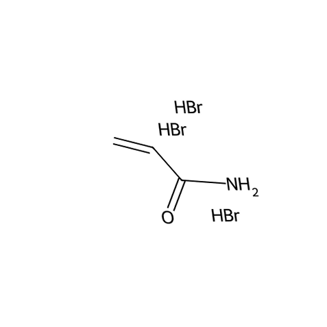 Br.Br.Br.C=CC(N)=O